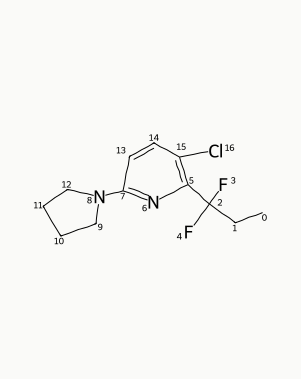 CCC(F)(F)c1nc(N2CCCC2)ccc1Cl